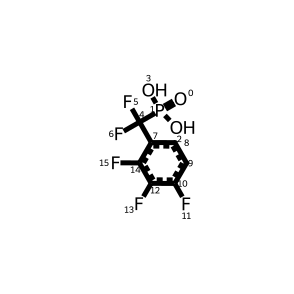 O=P(O)(O)C(F)(F)c1ccc(F)c(F)c1F